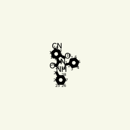 C[C@H](c1ccccc1)N1C(=O)c2cc(C#N)ccc2C1C(=O)NCc1ccccc1